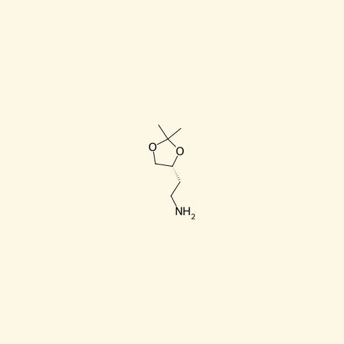 CC1(C)OC[C@@H](CCN)O1